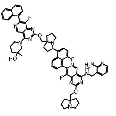 CC1(O)CCCN(c2nc(OCC34CCCN3C(c3ccc(F)c5c(-c6ncc7c(NCc8cccnc8N)nc(OCC89CCCN8CCC9)nc7c6F)cccc35)CC4)nc3c(F)c(-c4cccc5ccccc45)ncc23)C1